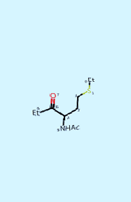 CCSCCC(NC(C)=O)C(=O)CC